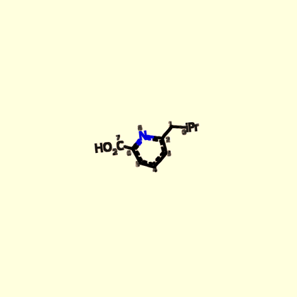 CC(C)Cc1cccc(C(=O)O)n1